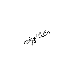 CN1C(=O)C=C[C@]2(C)[C@H]3CC[C@]4(C)[C@@H](c5csc(NC(=O)N6CCOCC6)n5)CC[C@H]4[C@@H]3CC[C@@H]12